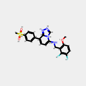 COc1ccc(F)c(F)c1CNc1ccc(-c2ccc(S(C)(=O)=O)cc2)c2nncn12